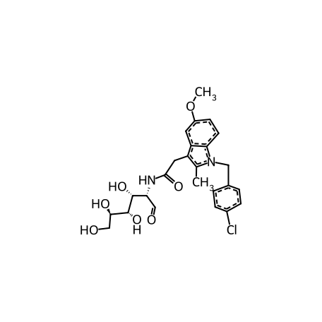 COc1ccc2c(c1)c(CC(=O)N[C@H](C=O)[C@@H](O)[C@H](O)[C@H](O)CO)c(C)n2Cc1ccc(Cl)cc1